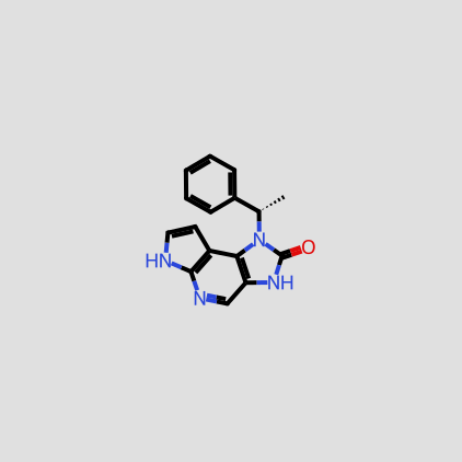 C[C@@H](c1ccccc1)n1c(=O)[nH]c2cnc3[nH]ccc3c21